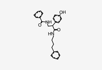 O=C(NCC(C(=O)NCCCCc1ccccc1)c1ccc(O)cc1)c1ccccc1